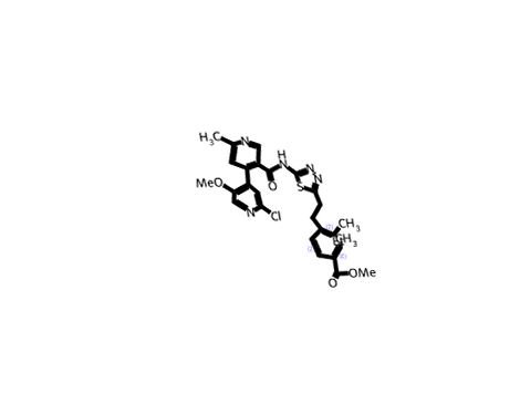 C\C=C(/C=C\C(CCc1nnc(NC(=O)c2cnc(C)cc2-c2cc(Cl)ncc2OC)s1)=C(\C)CC)C(=O)OC